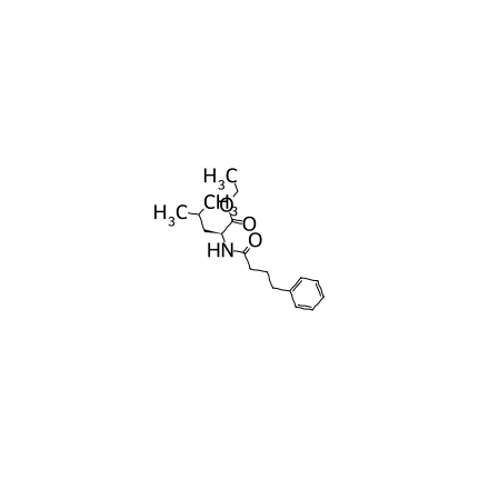 CCOC(=O)[C@H](CC(C)C)NC(=O)CCCc1ccccc1